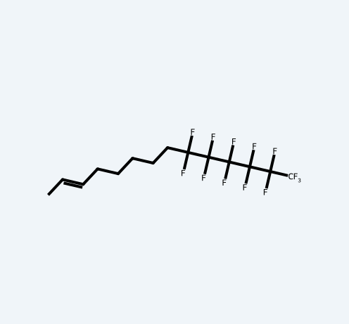 CC=CCCCCCC(F)(F)C(F)(F)C(F)(F)C(F)(F)C(F)(F)C(F)(F)F